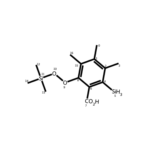 Cc1c(C)c([SiH3])c(C(=O)O)c(OO[Si](C)(C)C)c1C